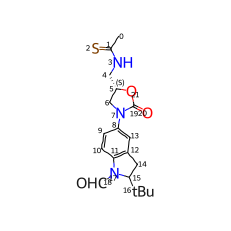 CC(=S)NC[C@H]1CN(c2ccc3c(c2)CC(C(C)(C)C)N3C=O)C(=O)O1